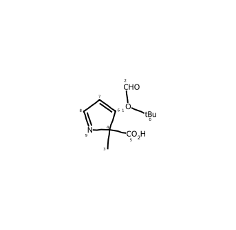 CC(C)(C)OC=O.CC1(C(=O)O)C=CC=N1